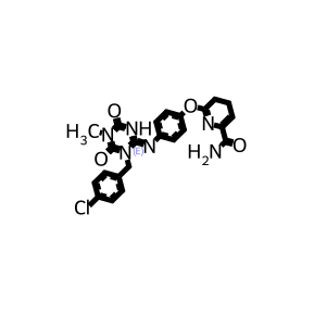 Cn1c(=O)[nH]/c(=N\c2ccc(OC3=NC(C(N)=O)=CCC3)cc2)n(Cc2ccc(Cl)cc2)c1=O